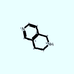 [c]1nccc2c1CCNC2